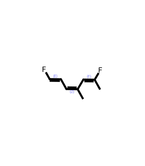 CC(=C/C=C/F)/C=C(\C)F